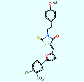 CCOc1ccc(CCN2C(=O)/C(=C/c3ccc(-c4ccc(Cl)c(C(=O)O)c4)o3)SC2=S)cc1